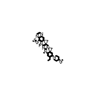 CCc1cc(N(C)c2ncc(OC)c(N(I)c3ccc4nccnc4c3N(C)SC)n2)c(OC)cc1N1CCC(N(C)C)CC1